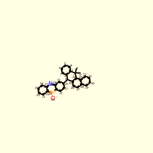 CC1(C)c2ccccc2C(c2ccc3c(c2)nc2ccccc2[p+]3[O-])c2ccc3ccccc3c21